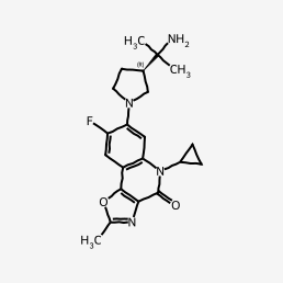 Cc1nc2c(=O)n(C3CC3)c3cc(N4CC[C@@H](C(C)(C)N)C4)c(F)cc3c2o1